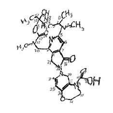 CC(C)N(C)c1cc2c(c(CN(C)C(=O)OC(C)(C)C)n1)CN(N1C=CC3=C(C1)N(C(=O)O)CCO3)C2=O